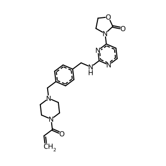 C=CC(=O)N1CCN(Cc2ccc(CNc3nccc(N4CCOC4=O)n3)cc2)CC1